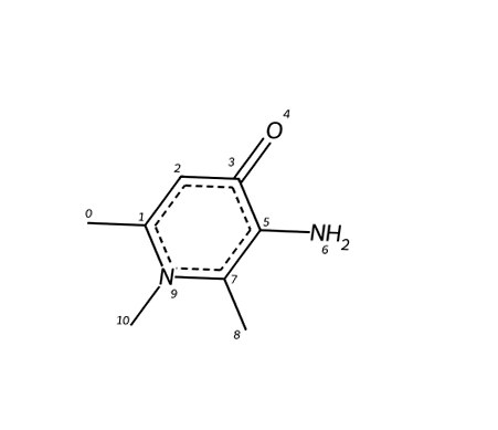 Cc1cc(=O)c(N)c(C)n1C